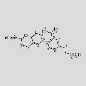 CCCCCCCC(=O)N(C)Cc1cccc(-c2ccc(CCC(=O)O)cc2N(CC)CC)c1